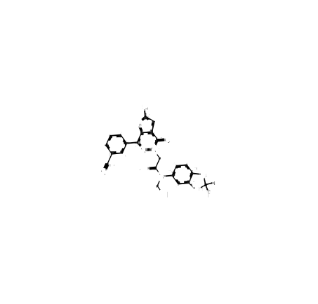 CCN(C(=O)Cn1nc(-c2cccc(C#N)c2)c2oc(Cl)cc2c1=O)c1ccc2c(c1)OC(F)(F)O2